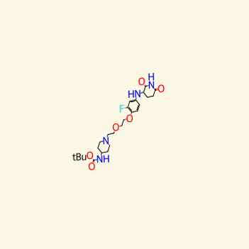 CC(C)(C)OC(=O)NC1CCN(CCOCCOc2ccc(NC3CCC(=O)NC3=O)cc2F)CC1